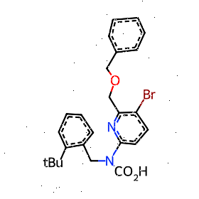 CC(C)(C)c1ccccc1CN(C(=O)O)c1ccc(Br)c(COCc2ccccc2)n1